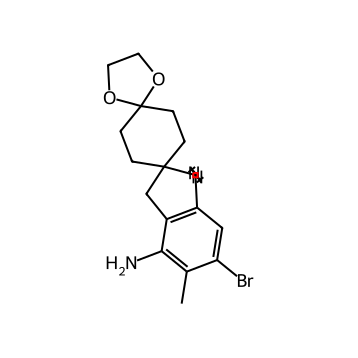 Cc1c(Br)cc2c(c1N)CC1(CCC3(CC1)OCCO3)C21N=CC=N1